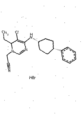 Br.CCC1C(Cl)=C(N[C@H]2CC[C@@H](c3ccccc3)CC2)N=CN1CC#N